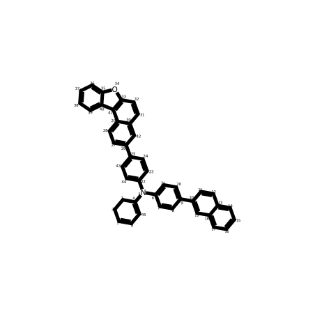 C1=CCCC(N(c2ccc(-c3ccc4ccccc4c3)cc2)c2ccc(-c3ccc4c(ccc5oc6ccccc6c54)c3)cc2)=C1